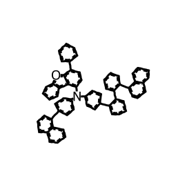 c1ccc(-c2ccc(N(c3ccc(-c4ccccc4-c4ccccc4-c4cccc5ccccc45)cc3)c3ccc(-c4cccc5ccccc45)cc3)c3c2oc2ccccc23)cc1